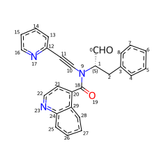 O=C[C@H](Cc1ccccc1)N(C#Cc1ccccn1)C(=O)c1ccnc2ccccc12